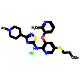 COCCSc1cnc(Nc2nc(C3CCN(C(C)=O)CC3)ns2)c(Oc2cccnc2C)c1.Cl